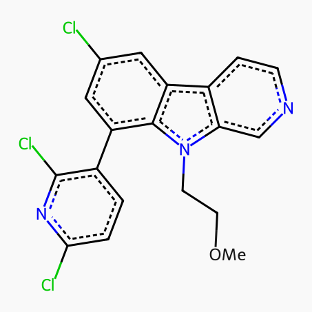 COCCn1c2cnccc2c2cc(Cl)cc(-c3ccc(Cl)nc3Cl)c21